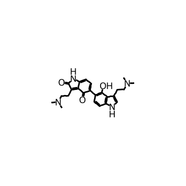 CN(C)CCC1=C2C(=O)C(c3ccc4[nH]cc(CCN(C)C)c4c3O)=CC=C2NC1=O